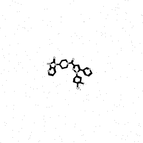 O=C(c1cc(-c2cccnc2)n(-c2ccc(C(F)(F)F)c(F)c2)n1)N1CCC(n2c(=O)[nH]c3ncccc32)CC1